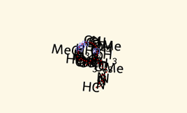 C#CCN1CCN(c2ncc(-c3cccc(CO[C@@H]4CC[C@@H](C[C@@H](C)[C@@H]5CC(=O)[C@H](C)/C=C(\C)[C@@H](O)[C@@H](OC)C(=O)[C@H](C)C[C@H](C)/C=C/C=C/C=C(\C)[C@@H](OC)C[C@@H]6CC[C@@H](C)[C@@](O)(O6)C(=O)C(=O)N6CCCC[C@H]6C(=O)O5)C[C@H]4OC)c3)cn2)CC1